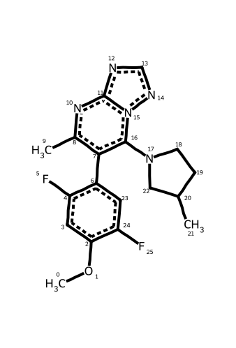 COc1cc(F)c(-c2c(C)nc3ncnn3c2N2CCC(C)C2)cc1F